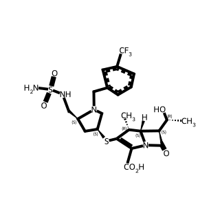 C[C@@H](O)[C@H]1C(=O)N2C(C(=O)O)=C(S[C@H]3C[C@@H](CNS(N)(=O)=O)N(Cc4cccc(C(F)(F)F)c4)C3)[C@H](C)[C@H]12